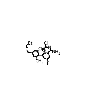 CCC=C=Cc1cc(C)c(-c2cc(F)cc3c(N)nc(Cl)nc23)c(C)c1